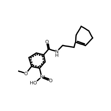 COc1ccc(C(=O)NCCC2=CCCCC2)cc1[N+](=O)O